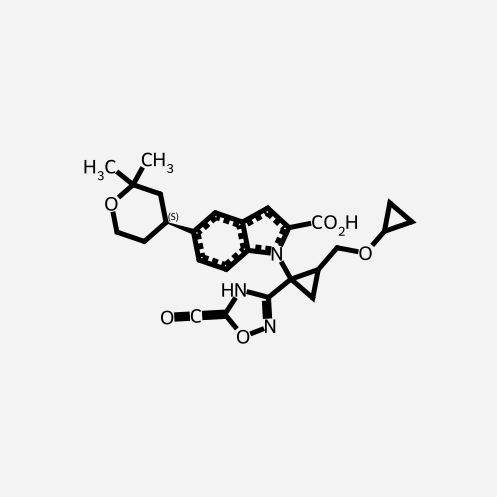 CC1(C)C[C@@H](c2ccc3c(c2)cc(C(=O)O)n3C2(C3=NOC(=C=O)N3)CC2COC2CC2)CCO1